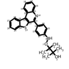 CC(C)(O)C(C)(C)OBc1ccc(-c2nc3ccccc3c3c2sc2ccccc23)cc1